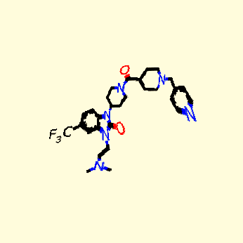 CN(C)CCn1c(=O)n(C2CCN(C(=O)C3CCN(Cc4ccncc4)CC3)CC2)c2ccc(C(F)(F)F)cc21